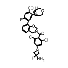 NC1(F)CN(c2cc(Cl)c(C(=O)N3COc4c(cccc4-c4cc(N5C6CCC5COC6)c(C(=O)O)cc4F)C3)c(Cl)c2)C1